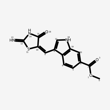 COC(=O)c1ccc2c(C=C3SC(=N)NC3=O)c[nH]c2c1